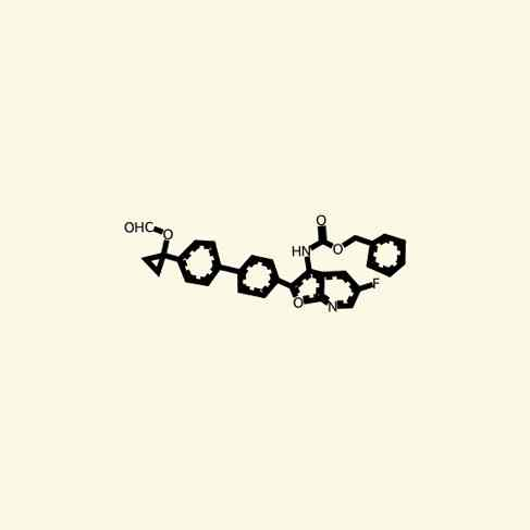 O=COC1(c2ccc(-c3ccc(-c4oc5ncc(F)cc5c4NC(=O)OCc4ccccc4)cc3)cc2)CC1